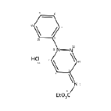 CCOC(=O)N=c1ccn(-c2ccccc2)nc1.Cl